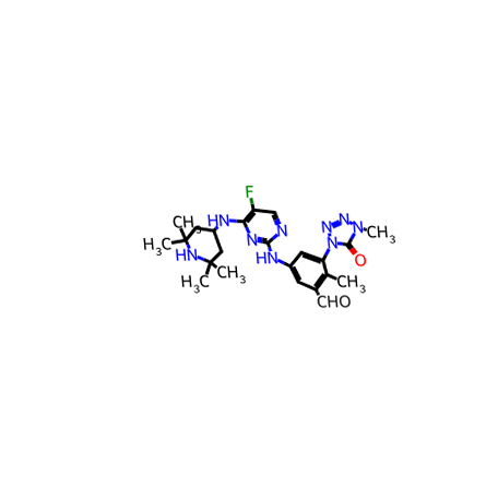 Cc1c(C=O)cc(Nc2ncc(F)c(NC3CC(C)(C)NC(C)(C)C3)n2)cc1-n1nnn(C)c1=O